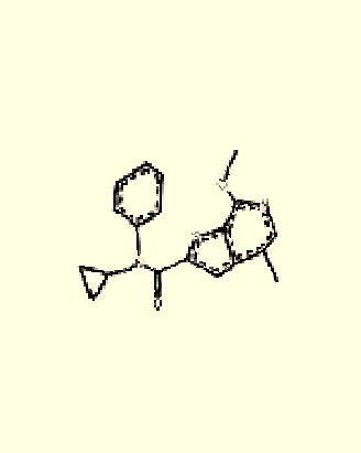 COc1ncc(C)c2cc(C(=O)N(c3ccccc3)C3CC3)sc12